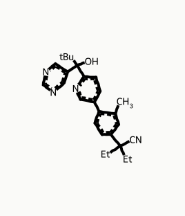 CCC(C#N)(CC)c1ccc(-c2ccc(C(O)(c3cncnc3)C(C)(C)C)nc2)c(C)c1